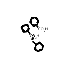 O=C(O)c1ccccc1.O=C(O)c1ccccc1.O=Ic1ccccc1